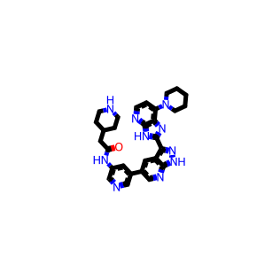 O=C(CC1CCNCC1)Nc1cncc(-c2cnc3[nH]nc(-c4nc5c(N6CCCCC6)ccnc5[nH]4)c3c2)c1